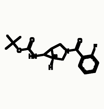 CC(C)(C)OC(=O)NC1C2CN(C(=O)c3ccccc3F)C[C@@H]21